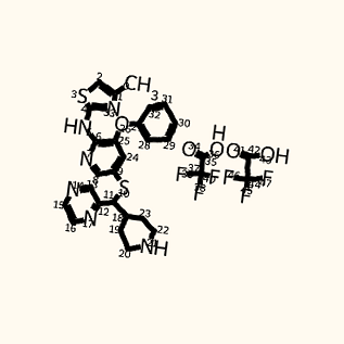 Cc1csc(Nc2ncc(SC(c3cnccn3)C3CCNCC3)cc2Oc2ccccc2)n1.O=C(O)C(F)(F)F.O=C(O)C(F)(F)F